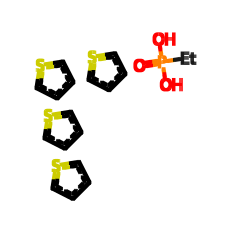 CCP(=O)(O)O.c1ccsc1.c1ccsc1.c1ccsc1.c1ccsc1